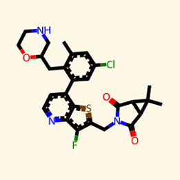 Cc1cc(Cl)cc(-c2ccnc3c(F)c(CN4C(=O)C5C(C4=O)C5(C)C)sc23)c1CC1CNCCO1